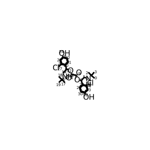 CC(C)(C)NCC(OC(=O)C(=O)OC(CNC(C)(C)C)c1ccc(O)cc1Cl)c1ccc(O)cc1Cl